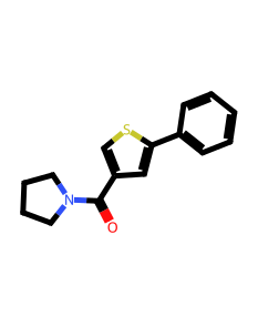 O=C(c1csc(-c2ccccc2)c1)N1CCCC1